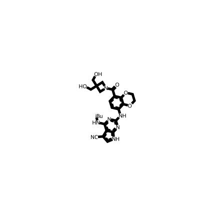 CCC(C)Nc1nc(Nc2ccc(C(=O)N3CC(CO)(CO)C3)c3c2OCCO3)nc2[nH]cc(C#N)c12